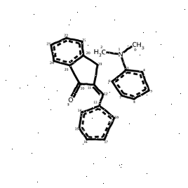 CN(C)c1ccccc1.O=C1C(=Cc2ccccc2)Cc2ccccc21